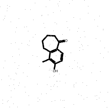 Cc1c(O)ccc2c1CCCCC2=O